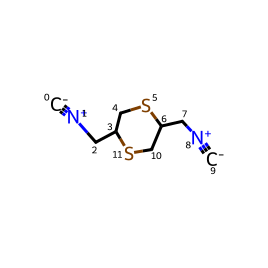 [C-]#[N+]CC1CSC(C[N+]#[C-])CS1